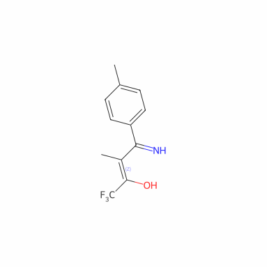 C/C(C(=N)c1ccc(C)cc1)=C(/O)C(F)(F)F